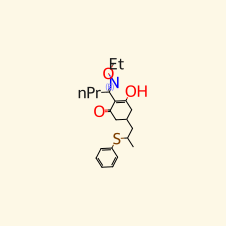 CCC/C(=N\OCC)C1=C(O)CC(CC(C)Sc2ccccc2)CC1=O